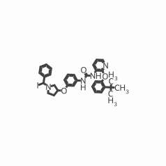 CC(C)(C)c1ccccc1Oc1ncccc1NC(=O)Nc1cccc(OC2CCN(C(I)c3ccccc3)C2)c1